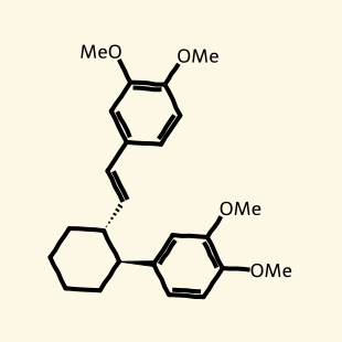 COc1ccc(/C=C/[C@H]2CCCC[C@@H]2c2ccc(OC)c(OC)c2)cc1OC